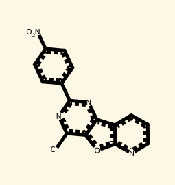 O=[N+]([O-])c1ccc(-c2nc(Cl)c3oc4ncccc4c3n2)cc1